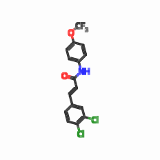 O=C(C=Cc1ccc(Cl)c(Cl)c1)Nc1ccc(OC(F)(F)F)cc1